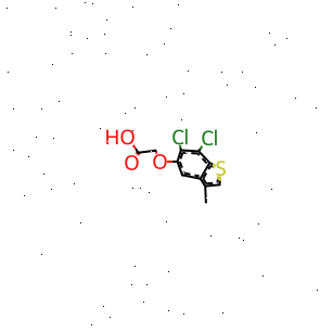 Cc1csc2c(Cl)c(Cl)c(OCC(=O)O)cc12